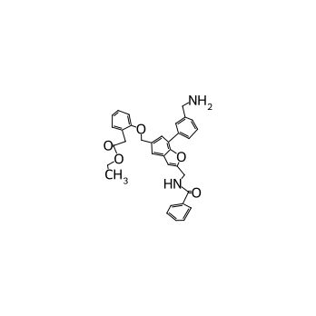 CCOC(=O)Cc1ccccc1OCc1cc(-c2cccc(CN)c2)c2oc(CNC(=O)c3ccccc3)cc2c1